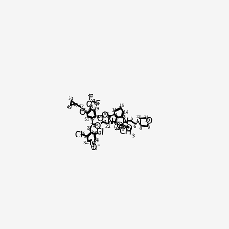 CS(=O)(=O)N(CCN1CCOCC1)c1cccc2c1C(=O)N(CC(=O)O[C@@H](Cc1c(Cl)c[n+]([O-])cc1Cl)c1ccc(OC(F)F)c(OCC3CC3)c1)C2=O